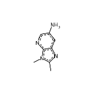 Cc1nc2cc(N)cnc2n1C